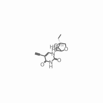 C#Cc1cn([C@@H]2O[C@@]3(CC)COC2[C@H]3O)c(=O)[nH]c1=O